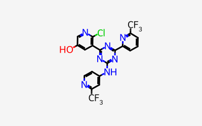 Oc1cnc(Cl)c(-c2nc(Nc3ccnc(C(F)(F)F)c3)nc(-c3cccc(C(F)(F)F)n3)n2)c1